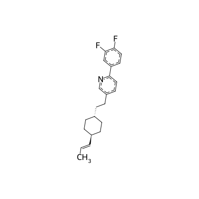 C/C=C/[C@H]1CC[C@H](CCc2ccc(-c3ccc(F)c(F)c3)nc2)CC1